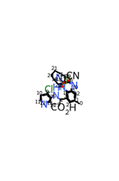 Cc1cc([C@@H](C)Nc2c(Cl)ccnc2C(=O)O)c2nc(N3C4CCC3CC(F)(F)C4)c(C#N)nc2c1